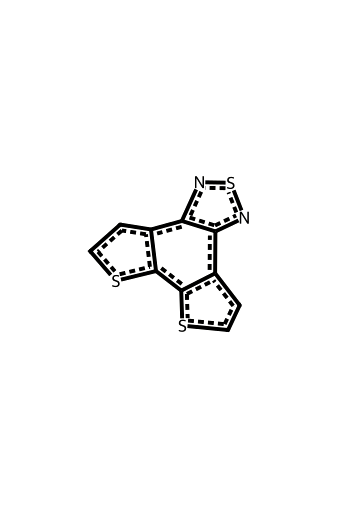 c1cc2c3nsnc3c3ccsc3c2s1